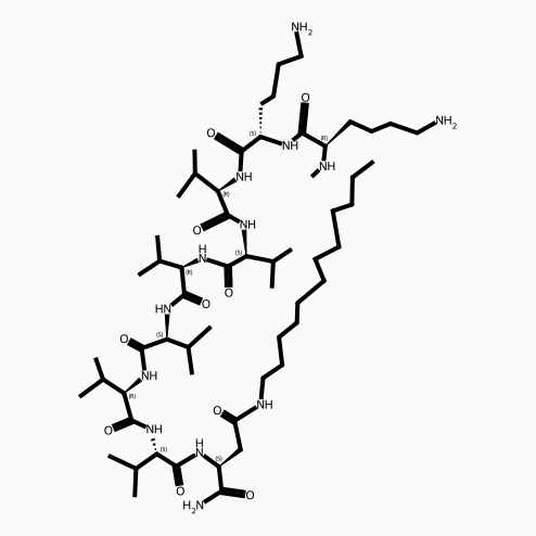 CCCCCCCCCCCCNC(=O)C[C@H](NC(=O)[C@@H](NC(=O)[C@H](NC(=O)[C@@H](NC(=O)[C@H](NC(=O)[C@@H](NC(=O)[C@H](NC(=O)[C@H](CCCCN)NC(=O)[C@@H](CCCCN)NC)C(C)C)C(C)C)C(C)C)C(C)C)C(C)C)C(C)C)C(N)=O